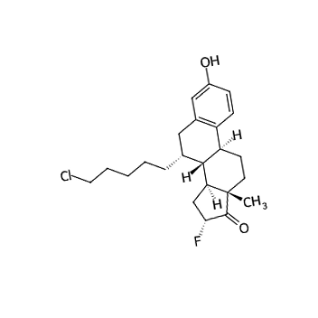 C[C@]12CC[C@@H]3c4ccc(O)cc4C[C@@H](CCCCCCl)[C@H]3[C@@H]1C[C@@H](F)C2=O